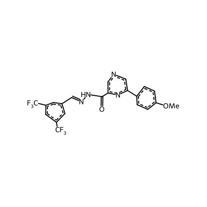 COc1ccc(-c2cncc(C(=O)N/N=C/c3cc(C(F)(F)F)cc(C(F)(F)F)c3)n2)cc1